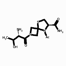 CC(=O)N1[C@H](C(N)=O)CSC12CN(C(=O)[C@@H](N)C(C)O)C2